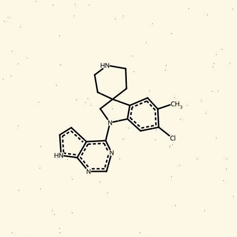 Cc1cc2c(cc1Cl)N(c1ncnc3[nH]ccc13)CC21CCNCC1